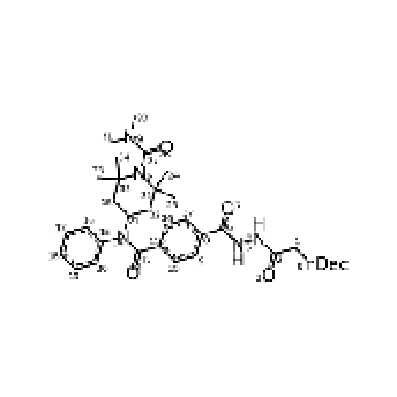 CCCCCCCCCCCC(=O)NNC(=O)c1ccc(C(=O)N(c2ccccc2)C2CC(C)(C)N(C(=O)N(C)C)C(C)(C)C2)cc1